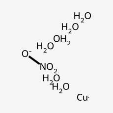 O.O.O.O.O.O.O=[N+]([O-])[O-].[Cu]